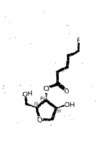 O=C(CCCCF)O[C@H]1[C@H](CO)OC[C@@H]1O